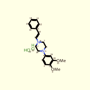 COc1ccc(N2CCN(C=Cc3ccccc3)CC2)cc1OC.Cl.Cl